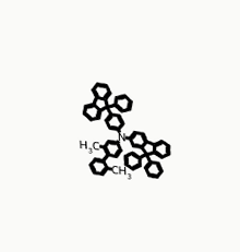 Cc1ccccc1-c1ccc(N(c2ccc(C3(c4ccccc4)c4ccccc4-c4ccccc43)cc2)c2ccc3c(c2)C(c2ccccc2)(c2ccccc2)c2ccccc2-3)cc1C